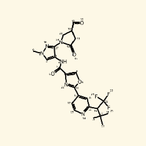 Cn1cc(NC(=O)c2coc(-c3ccnc([C](C(C)(C)C)C(F)(F)F)c3)n2)c(N2CC(C=O)CC2=O)n1